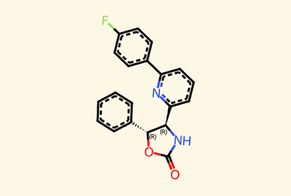 O=C1N[C@H](c2cccc(-c3ccc(F)cc3)n2)[C@@H](c2ccccc2)O1